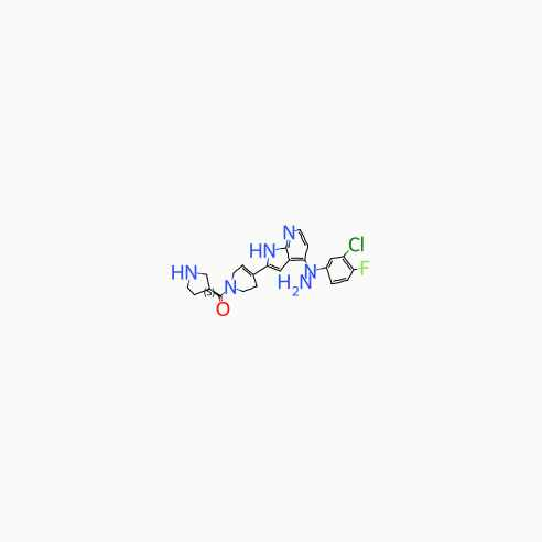 NN(c1ccc(F)c(Cl)c1)c1ccnc2[nH]c(C3=CCN(C(=O)[C@H]4CCNC4)CC3)cc12